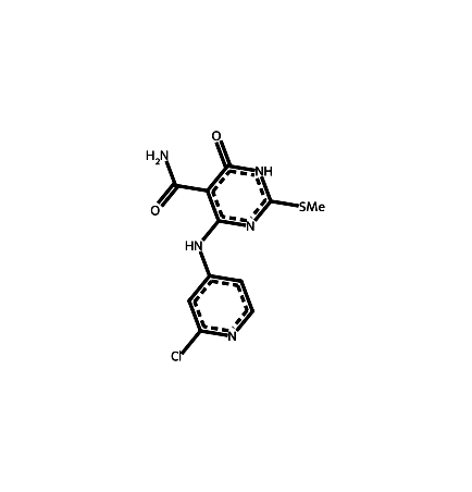 CSc1nc(Nc2ccnc(Cl)c2)c(C(N)=O)c(=O)[nH]1